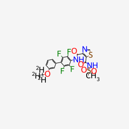 [2H]C([2H])([2H])Oc1cccc(-c2c(F)c(F)c(NC(=O)c3ncsc3C(=O)NS(C)(=O)=O)c(F)c2F)c1